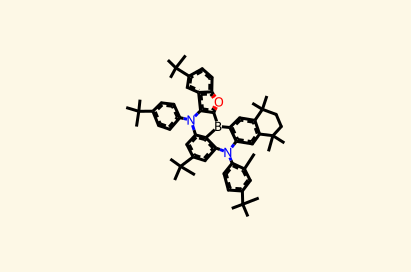 Cc1cc(C(C)(C)C)ccc1N1c2cc3c(cc2B2c4oc5ccc(C(C)(C)C)cc5c4N(c4ccc(C(C)(C)C)cc4)c4cc(C(C)(C)C)cc1c42)C(C)(C)CCC3(C)C